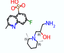 C[C@@H]1CCC[C@H](C)N1C[C@H](O)CN.Cc1ccc2c(S(=O)(=O)O)cc(F)cc2n1